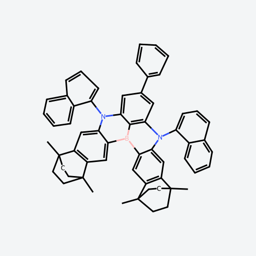 CC12CCC(C)(CC1)c1cc3c(cc12)B1c2cc4c(cc2N(c2cccc5ccccc25)c2cc(-c5ccccc5)cc(c21)N3c1cccc2ccccc12)C1(C)CCC4(C)CC1